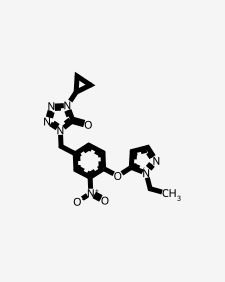 CCn1nccc1Oc1ccc(Cn2nnn(C3CC3)c2=O)cc1[N+](=O)[O-]